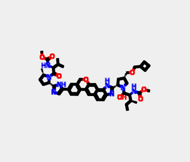 CC[C@H](C)[C@H](NC(=O)OC)C(O)N1C[C@@H](COCC2CCC2)C[C@H]1c1nc2ccc3cc4c(cc3c2[nH]1)OCc1cc(-c2cnc([C@@H]3CC[C@H](C)N3C(=O)[C@@H](NC(=O)OC)C(C)C)[nH]2)ccc1-4